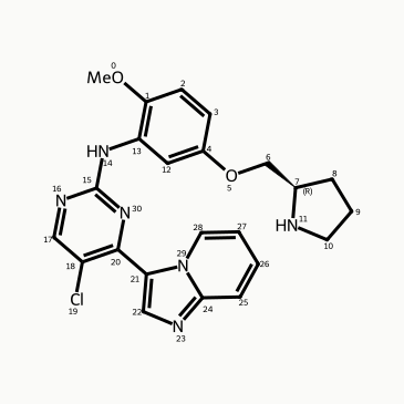 COc1ccc(OC[C@H]2CCCN2)cc1Nc1ncc(Cl)c(-c2cnc3ccccn23)n1